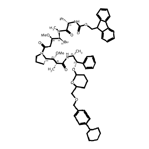 CC[C@H](C)[C@@H]([C@@H](CC(=O)N1CCC[C@H]1[C@H](OC)[C@@H](C)C(=O)N[C@H](C)[C@@H](OC1CCCC(COCc2ccc(C3CCCCC3)cc2)O1)c1ccccc1)OC)N(C)C(=O)[C@@H](NC(=O)OCC1c2ccccc2-c2ccccc21)C(C)C